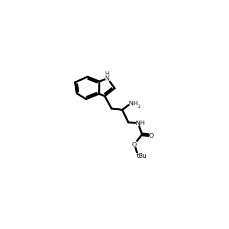 CC(C)(C)OC(=O)NCC(N)Cc1c[nH]c2ccccc12